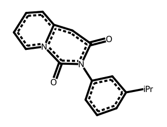 CC(C)c1cccc(-n2c(=O)cc3ccccn3c2=O)c1